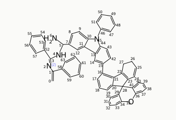 C=C(/N=C(\NC(N)c1ccc2c(c1)c1cc(-c3cccc4c3C3=C(C=CCC3)C43c4ccccc4Oc4ccccc43)ccc1n2-c1ccccc1)c1ccccc1)c1ccccc1